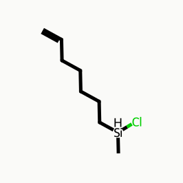 C=CCCCCC[SiH](C)Cl